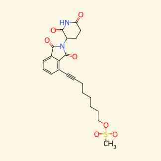 CS(=O)(=O)OCCCCCCC#Cc1cccc2c1C(=O)N(C1CCC(=O)NC1=O)C2=O